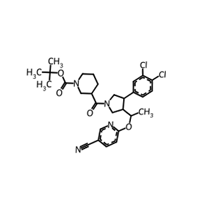 CC(Oc1ccc(C#N)cn1)C1CN(C(=O)C2CCCN(C(=O)OC(C)(C)C)C2)CC1c1ccc(Cl)c(Cl)c1